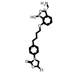 CCC1CN(c2ccc(CCCCOc3cccc4c3B(O)O[C@@H]4CN)cc2)C(=O)O1